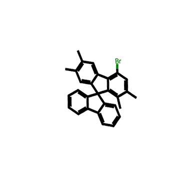 Cc1cc2c(cc1C)C1(c3ccccc3-c3ccccc31)c1c(C)c(C)cc(Br)c1-2